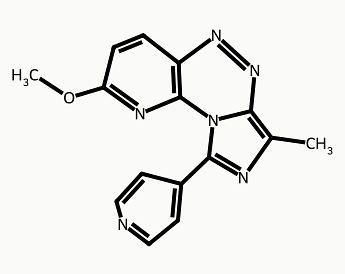 COc1ccc2nnc3c(C)nc(-c4ccncc4)n3c2n1